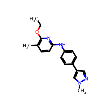 CCOc1nc(Nc2ccc(-c3cnn(C)c3)cc2)ccc1C